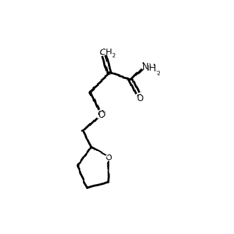 C=C(COCC1CCCO1)C(N)=O